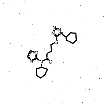 O=C(CCCSc1nnnn1C1CCCCC1)N(c1ncco1)C1CCCCC1